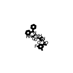 Cc1ccc(Oc2c(C(=O)N[C@H]3N=C(c4ccccc4)c4ccccc4NC3=O)cnn2C2CCO2)c(F)c1